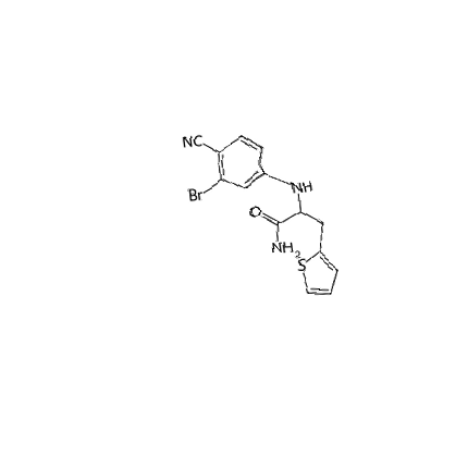 N#Cc1ccc(NC(Cc2cccs2)C(N)=O)cc1Br